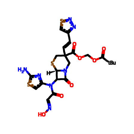 CC(C)(C)C(=O)OCOC(=O)C1(C=Cc2csnn2)CS[C@@H]2C(N(C(=O)C=NO)c3csc(N)n3)C(=O)N2C1